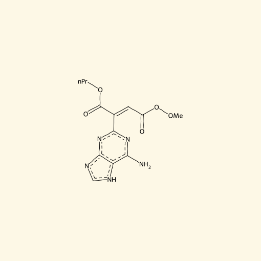 CCCOC(=O)/C(=C/C(=O)OOC)c1nc(N)c2[nH]cnc2n1